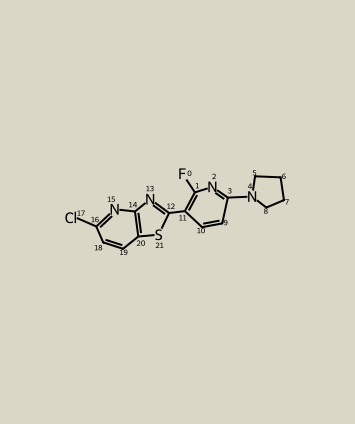 Fc1nc(N2CCCC2)ccc1-c1nc2nc(Cl)ccc2s1